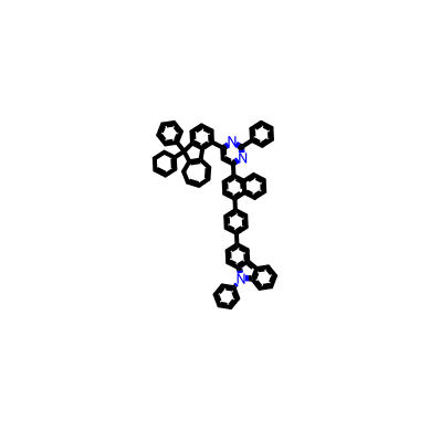 C1=CCCC(C2(c3ccccc3)C3=C(C=CC=CC3)c3c(-c4cc(-c5ccc(-c6ccc(-c7ccc8c(c7)c7ccccc7n8-c7ccccc7)cc6)c6ccccc56)nc(-c5ccccc5)n4)cccc32)=C1